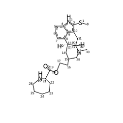 CSc1[nH]c2cccc3c2c1C[C@H]1[C@H]3CC(CCOC(=O)C2CCCCCN2)CN1C